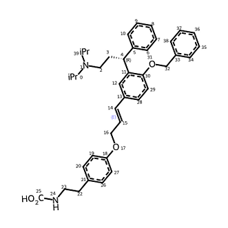 CC(C)N(CC[C@H](c1ccccc1)c1cc(/C=C/COc2ccc(CCNC(=O)O)cc2)ccc1OCc1ccccc1)C(C)C